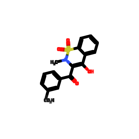 CN1C(C(=O)c2cccc(C(=O)O)c2)=C(O)c2ccccc2S1(=O)=O